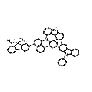 CC1(C)c2ccccc2-c2ccc(-c3ccc(N(c4ccccc4-c4ccccc4)c4cccc5oc6ccc(-c7ccc8c(c7)c7ccccc7n8-c7ccccc7)cc6c45)cc3)cc21